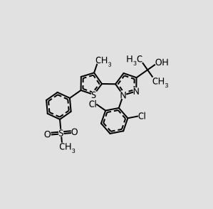 Cc1cc(-c2cccc(S(C)(=O)=O)c2)sc1-c1cc(C(C)(C)O)nn1-c1c(Cl)cccc1Cl